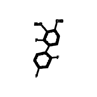 COc1c(C=O)ccc(-c2ccc(F)cc2F)c1F